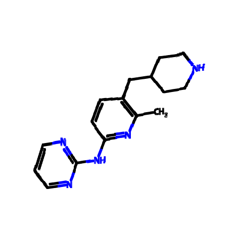 Cc1nc(Nc2ncccn2)ccc1CC1CCNCC1